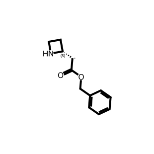 O=C([CH][C@H]1CCN1)OCc1ccccc1